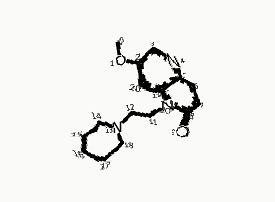 COc1cnc2ccc(=O)n(CCN3CCCCC3)c2c1